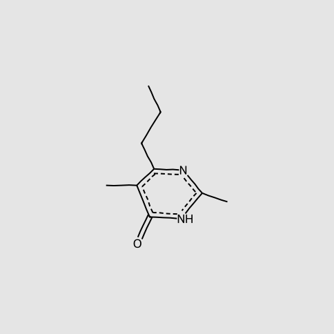 CCCc1nc(C)[nH]c(=O)c1C